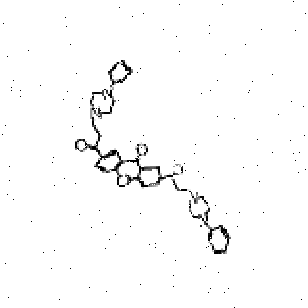 O=C(CCN1CCN(c2ccccc2)CC1)c1ccc2oc3ccc(C(=O)CCN4CCN(c5ccccc5)CC4)cc3c(=O)c2c1